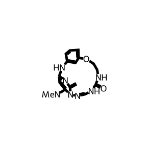 C=C1N=C2C=C(NC)N1/N=C\NC(=O)NCCOc1cccc(c1)N2